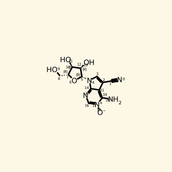 N#Cc1cn([C@@H]2O[C@H](CO)[C@@H](O)[C@H]2O)c2nc[n+]([O-])c(N)c12